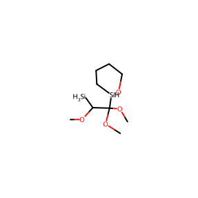 COC([SiH3])C(OC)(OC)[SiH]1CCCCO1